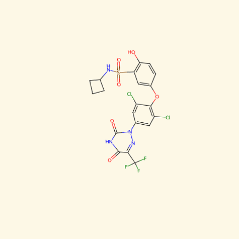 O=c1[nH]c(=O)n(-c2cc(Cl)c(Oc3ccc(O)c(S(=O)(=O)NC4CCC4)c3)c(Cl)c2)nc1C(F)(F)F